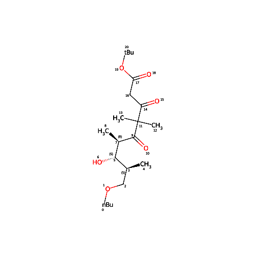 CCCCOC[C@H](C)[C@H](O)[C@@H](C)C(=O)C(C)(C)C(=O)CC(=O)OC(C)(C)C